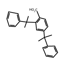 CC(C)(c1ccccc1)c1ccc(C(=O)O)c(C(C)(C)c2ccccc2)c1